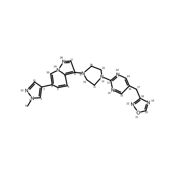 Cn1cc(-c2ccc3c(N4CCN(c5ncc(Cc6ncon6)cn5)CC4)cnn3c2)cn1